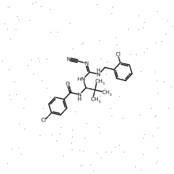 CC(C)(C)C(NC(=O)c1ccc(Cl)cc1)N/C(=N\C#N)NCc1ccccc1Cl